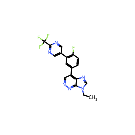 CCn1cnc2c(-c3ccc(F)c(-c4cnc(C(F)(F)F)nc4)c3)cnnc21